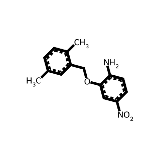 Cc1ccc(C)c(COc2cc([N+](=O)[O-])ccc2N)c1